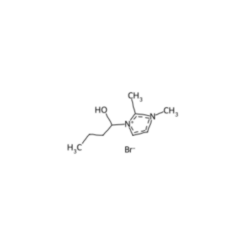 CCCC(O)[n+]1ccn(C)c1C.[Br-]